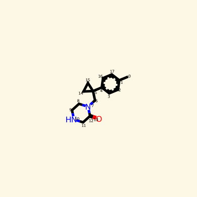 Cc1ccc(C2(CN3CCNCC3=O)CC2)cc1